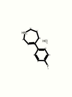 Cl.Fc1ccc(C2=CCNCCC2)cc1